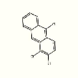 Clc1[c]cc2c(Cl)c3cc[c]cc3cc2c1Cl